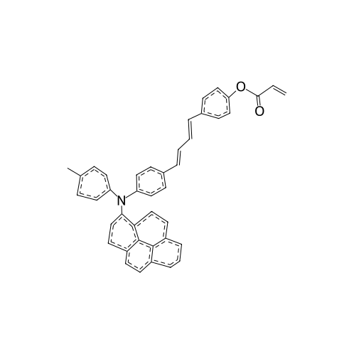 C=CC(=O)Oc1ccc(/C=C/C=C/c2ccc(N(c3ccc(C)cc3)c3ccc4ccc5cccc6ccc3c4c56)cc2)cc1